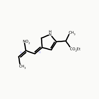 C/C=C(\C=C1\C=C(C(C)C(=O)OCC)NC1)[N+](=O)[O-]